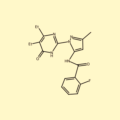 CCc1nc(-n2nc(C)cc2NC(=O)c2ccccc2F)[nH]c(=O)c1CC